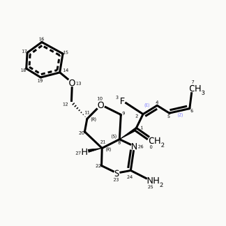 C=C(/C(F)=C\C=C/C)[C@]12CO[C@@H](COc3ccccc3)C[C@H]1CSC(N)=N2